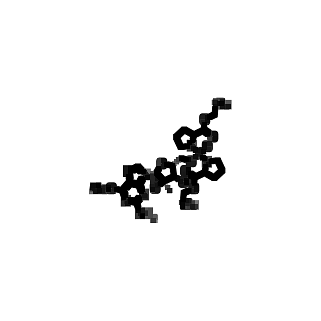 COc1nc(N)nc2c1ncn2[C@@H]1O[C@H](COP(=O)(N2CCCC2C(=O)OCC(C)(C)C)N2CCCC2C(=O)OCC(C)(C)C)[C@@H](O)[C@@]1(C)O